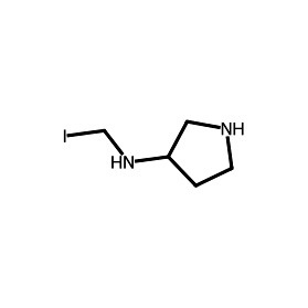 ICNC1CCNC1